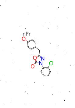 CCCOc1ccc(Cc2nn(-c3ccccc3Cl)c(=O)o2)cc1